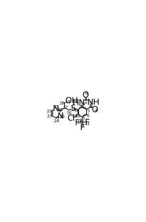 O=c1[nH]c(=O)c2cc(C(F)(F)F)c(Cl)c(SCC(CO)c3ncccn3)c2[nH]1